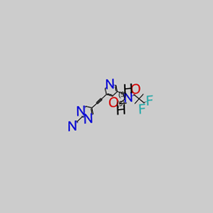 CC(C)(C(=O)N1C[C@@H]2C[C@H]1c1cncc(C#Cc3cnc(C#N)nc3)c1O2)C(F)F